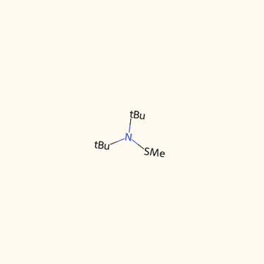 CSN(C(C)(C)C)C(C)(C)C